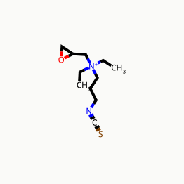 CC[N+](CC)(CCCN=C=S)CC1CO1